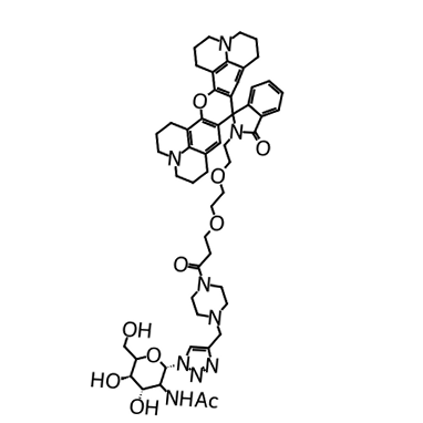 CC(=O)NC1[C@H](O)[C@@H](O)C(CO)O[C@@H]1n1cc(CN2CCN(C(=O)CCOCCOCCN3C(=O)c4ccccc4C34c3cc5c6c(c3Oc3c4cc4c7c3CCCN7CCC4)CCCN6CCC5)CC2)nn1